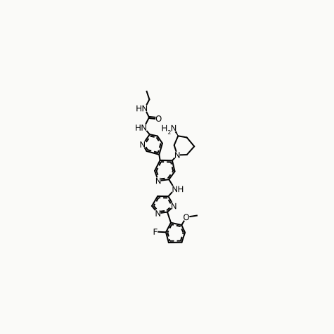 CCNC(=O)Nc1ccc(-c2cnc(Nc3ccnc(-c4c(F)cccc4OC)n3)cc2N2CCC[C@H](N)C2)cn1